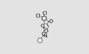 Cn1c(C2CCCCC2)cc2sc(C=C3C(=O)c4cc(Cl)c(Cl)cc4C3=O)cc21